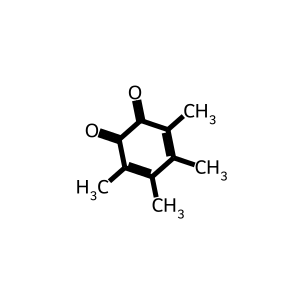 CC1=C(C)C(C)=C(C)C(=O)C1=O